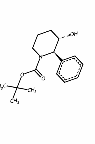 CC(C)(C)OC(=O)N1CCC[C@H](O)[C@H]1c1ccccc1